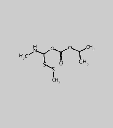 CNC(OC(=O)OC(C)C)SSC